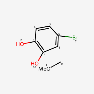 COC.Oc1ccc(Br)cc1O